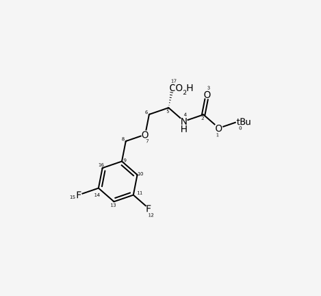 CC(C)(C)OC(=O)N[C@H](COCc1cc(F)cc(F)c1)C(=O)O